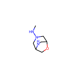 CNN1CC2COC(CN2)C1